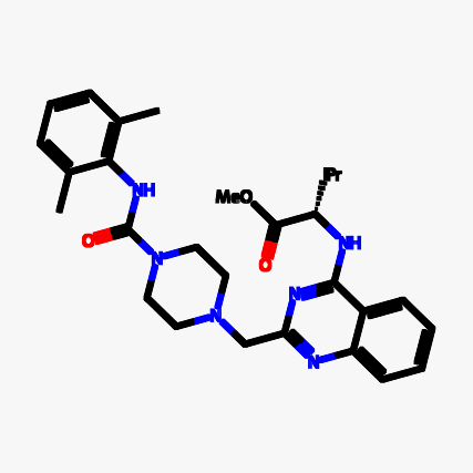 COC(=O)[C@@H](Nc1nc(CN2CCN(C(=O)Nc3c(C)cccc3C)CC2)nc2ccccc12)C(C)C